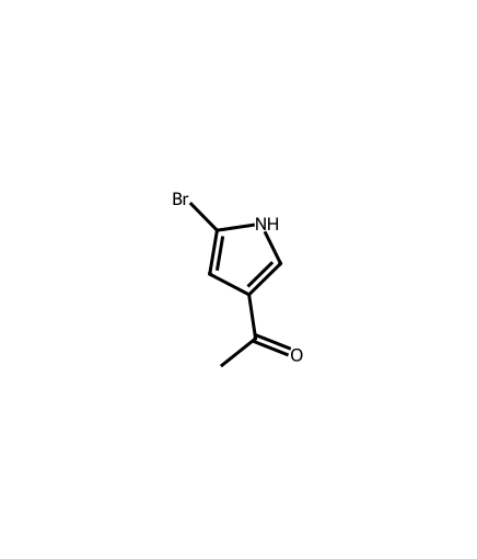 CC(=O)c1c[nH]c(Br)c1